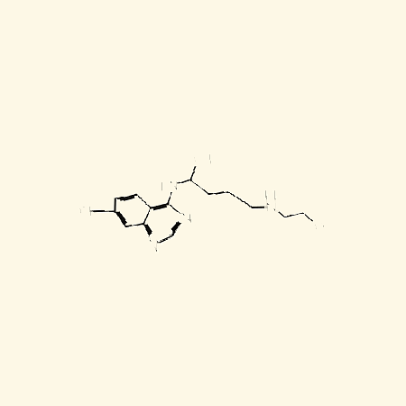 CC(CCCNCCO)Nc1ncnc2cc(Cl)ccc12